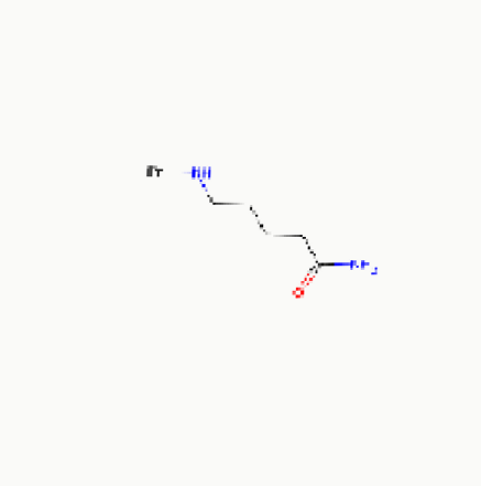 CC(C)NCCCCC(N)=O